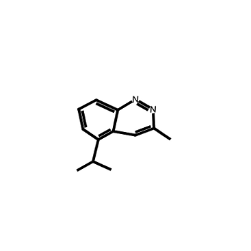 Cc1cc2c(C(C)C)cccc2nn1